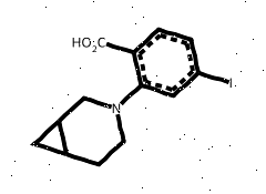 O=C(O)c1ccc(I)cc1N1CCC2CC2C1